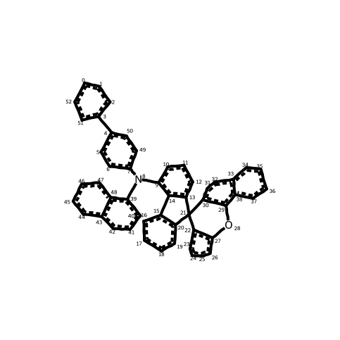 c1ccc(-c2ccc(N(c3cccc4c3-c3ccccc3C43c4ccccc4Oc4c3ccc3ccccc43)c3cccc4ccccc34)cc2)cc1